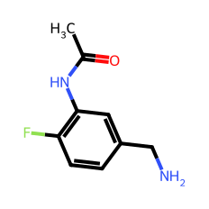 CC(=O)Nc1cc(CN)ccc1F